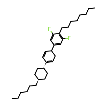 CCCCCCCCc1c(F)cc(C2C=CC([C@H]3CC[C@H](CCCCCC)CC3)=CC2)cc1F